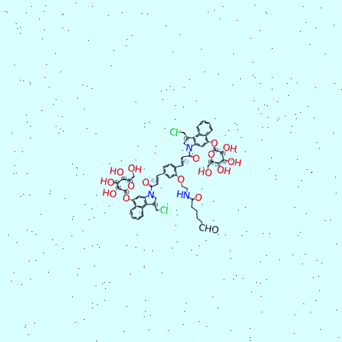 O=CCCCCC(=O)NCCOc1cc(/C=C/C(=O)N2C[C@@H](CCl)c3c2cc(O[C@@H]2O[C@H](CO)[C@@H](O)[C@H](O)[C@H]2O)c2ccccc32)ccc1/C=C/C(=O)N1C[C@@H](CCl)c2c1cc(O[C@@H]1O[C@H](CO)[C@@H](O)[C@H](O)[C@H]1O)c1ccccc21